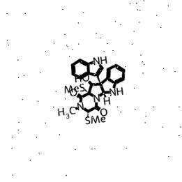 CS[C@H]1C(=O)N2[C@H]3Nc4ccccc4[C@@]3(c3c[nH]c4ccccc34)C(O)[C@]2(SC)C(=O)N1C